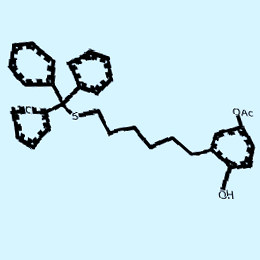 CC(=O)Oc1ccc(O)c(CCCCCCSC(c2ccccc2)(c2ccccc2)c2ccccc2)c1